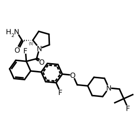 CC(C)(F)CN1CCC(COc2ccc(C3C=CC=CC3(F)C(=O)N3CCC[C@H]3C(N)=O)cc2F)CC1